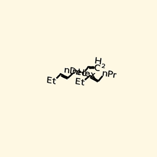 C=CCCCCCCCCCC.CCC=CCCC.CCC=CCCCCCC